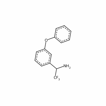 NC(c1cccc(Oc2ccccc2)c1)C(F)(F)F